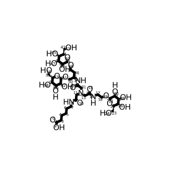 O=C(O)CCCCCNC(=O)CN(CC(=O)NCCO[C@H]1O[C@H](CO)[C@@H](O)[C@H](O)[C@@H]1O)CC(=O)NC(CCO[C@H]1O[C@H](CO)[C@@H](O)[C@H](O)[C@@H]1O)CO[C@H]1O[C@H](CO)[C@@H](O)[C@H](O)[C@@H]1O